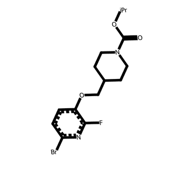 CC(C)OC(=O)N1CCC(COc2ccc(Br)nc2F)CC1